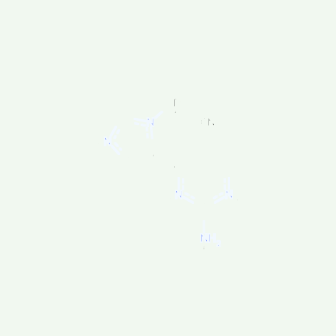 Cc1ncc(-c2nc(N)ncc2C#N)n1C(C)C